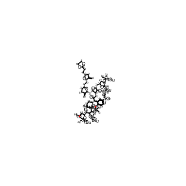 C=C1C[C@H](CCC2OCCO2)O[C@H]1CC[C@H]1CCC(=C)[C@@H](C[C@@H]2O[C@H](C[C@@H](CO[Si](C)(C)C(C)(C)C)O[Si](C)(C)C(C)(C)C)[C@@H](OC)[C@H]2CC(=O)C(c2cc([SH](=O)=O)ccc2CC)[C@H]2CC[C@@H]3O[C@H](C(/C=C/I)O[Si](C)(C)C(C)(C)C)C(O[Si](C)(C)C(C)(C)C)C(O[Si](C)(C)C(C)(C)C)C3O2)O1